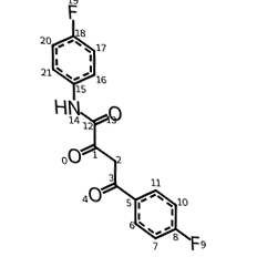 O=C(CC(=O)c1ccc(F)cc1)C(=O)Nc1ccc(F)cc1